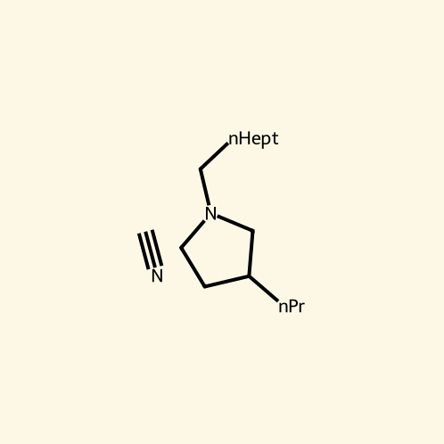 C#N.CCCCCCCCN1CCC(CCC)C1